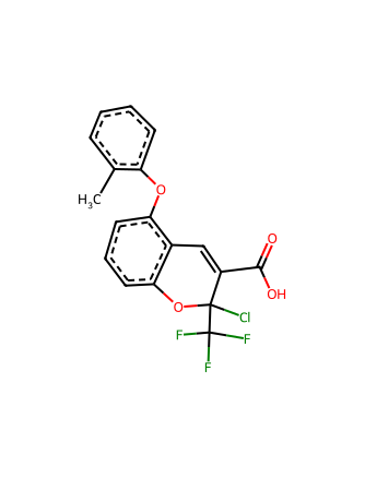 Cc1ccccc1Oc1cccc2c1C=C(C(=O)O)C(Cl)(C(F)(F)F)O2